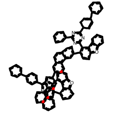 C1=CC(c2nc(-c3ccccc3)nc(-c3c(-c4ccc5ccc6cc(-c7ccc8c(c7)c(-c7cccc9oc%10cccc(-c%11nc(-c%12ccccc%12)nc(-c%12ccc(-c%13ccccc%13)cc%12)n%11)c%10c79)cc7ccccc78)ccc6c5c4)ccc4oc5ccccc5c34)n2)CC=C1c1ccccc1